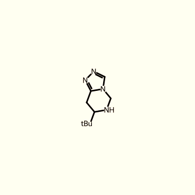 CC(C)(C)C1Cc2nncn2CN1